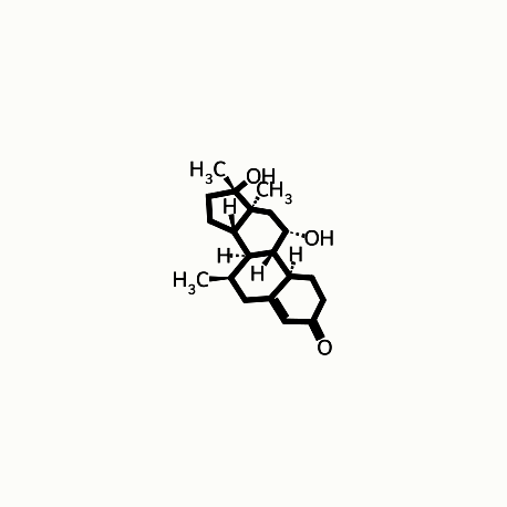 C[C@@H]1CC2=CC(=O)CC[C@@H]2[C@@H]2[C@@H]1[C@@H]1CC[C@](C)(O)[C@@]1(C)C[C@@H]2O